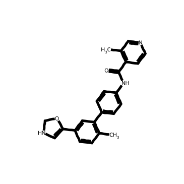 Cc1cnccc1C(=O)Nc1ccc(-c2cc(C3=CNCO3)ccc2C)cc1